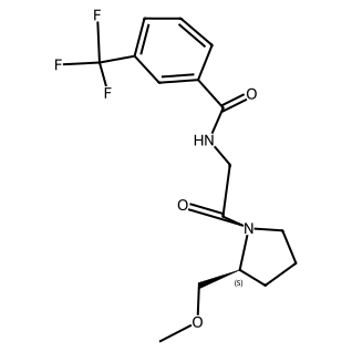 COC[C@@H]1CCCN1C(=O)CNC(=O)c1cccc(C(F)(F)F)c1